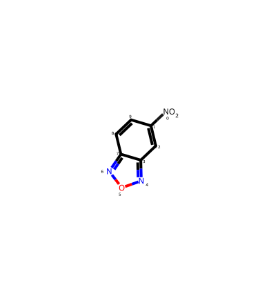 O=[N+]([O-])c1[c]c2nonc2cc1